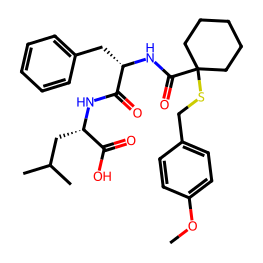 COc1ccc(CSC2(C(=O)N[C@@H](Cc3ccccc3)C(=O)N[C@@H](CC(C)C)C(=O)O)CCCCC2)cc1